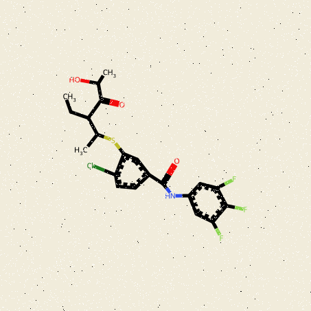 CCC(C(=O)C(C)O)C(C)Sc1cc(C(=O)Nc2cc(F)c(F)c(F)c2)ccc1Cl